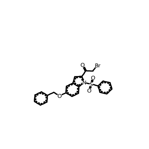 O=C(CBr)c1cc2cc(OCc3ccccc3)ccc2n1S(=O)(=O)c1ccccc1